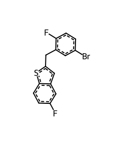 Fc1ccc2sc(Cc3cc(Br)ccc3F)cc2c1